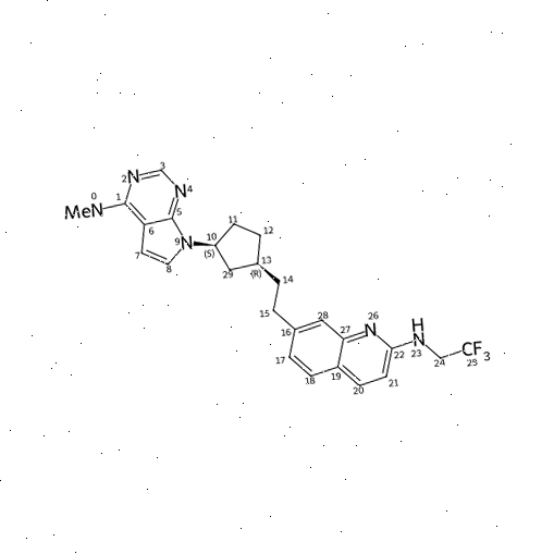 CNc1ncnc2c1ccn2[C@H]1CC[C@@H](CCc2ccc3ccc(NCC(F)(F)F)nc3c2)C1